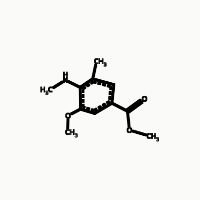 CNc1c(C)cc(C(=O)OC)cc1OC